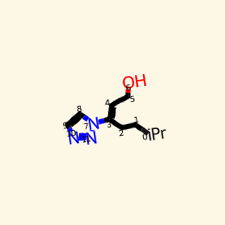 CC(C)CCC(=CCO)n1ccnn1